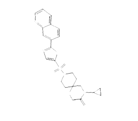 O=C1COC2(CCN(S(=O)(=O)c3cnc(-c4ccc5cccnc5c4)s3)CC2)CN1C1CC1